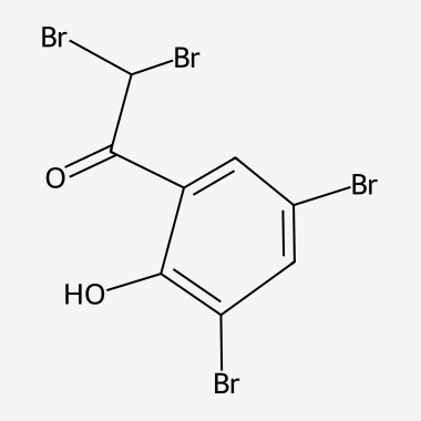 O=C(c1cc(Br)cc(Br)c1O)C(Br)Br